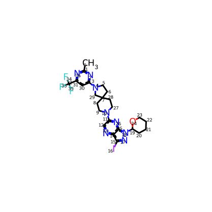 Cc1nc(N2CCC3(CCN(c4cnc5c(I)nn(C6CCCCO6)c5n4)CC3)C2)cc(C(F)(F)F)n1